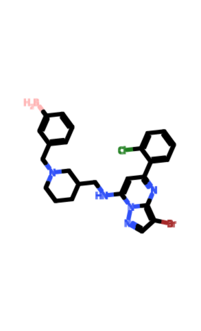 Bc1cccc(CN2CCCC(CNc3cc(-c4ccccc4Cl)nc4c(Br)cnn34)C2)c1